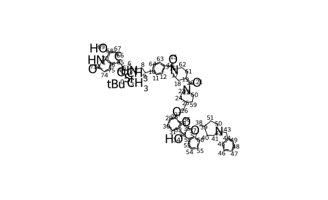 CC(C)(C)[Si](C)(C)O[C@@H](CNCCc1ccc(C(=O)N2CCC(C(=O)N3CCC(COc4cccc([C@](O)(C(=O)OCC5CCN(Cc6ccccc6)CC5)c5ccccc5)c4)CC3)CC2)cc1)c1ccc(O)c2[nH]c(=O)ccc12